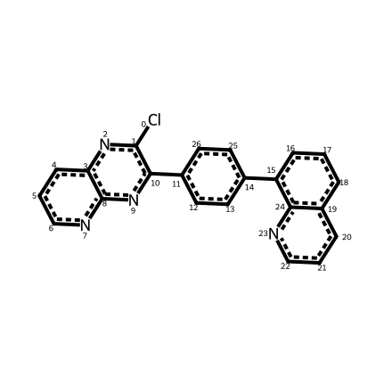 Clc1nc2cccnc2nc1-c1ccc(-c2cccc3cccnc23)cc1